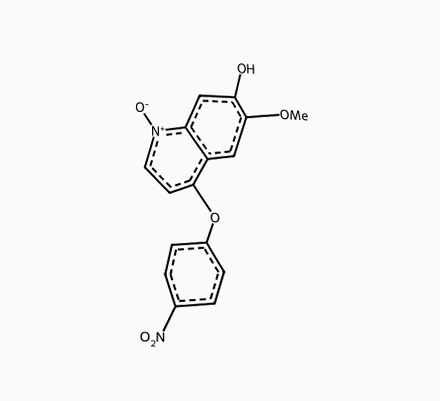 COc1cc2c(Oc3ccc([N+](=O)[O-])cc3)cc[n+]([O-])c2cc1O